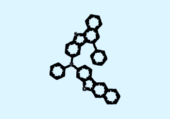 c1ccc(-c2cc3ccccc3c3sc4ccc(N(c5ccccc5)c5ccc6c(c5)oc5cc7ccccc7cc56)cc4c23)cc1